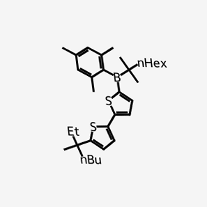 CCCCCCC(C)(C)B(c1ccc(-c2ccc(C(C)(CC)CCCC)s2)s1)c1c(C)cc(C)cc1C